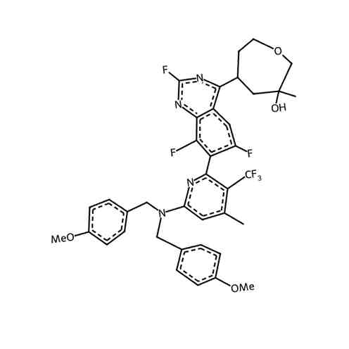 COc1ccc(CN(Cc2ccc(OC)cc2)c2cc(C)c(C(F)(F)F)c(-c3c(F)cc4c(C5CCOCC(C)(O)C5)nc(F)nc4c3F)n2)cc1